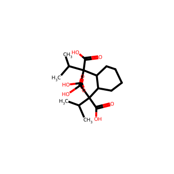 CC(C)C(C(=O)O)(C(=O)O)C1CCCCC1C(C(=O)O)(C(=O)O)C(C)C